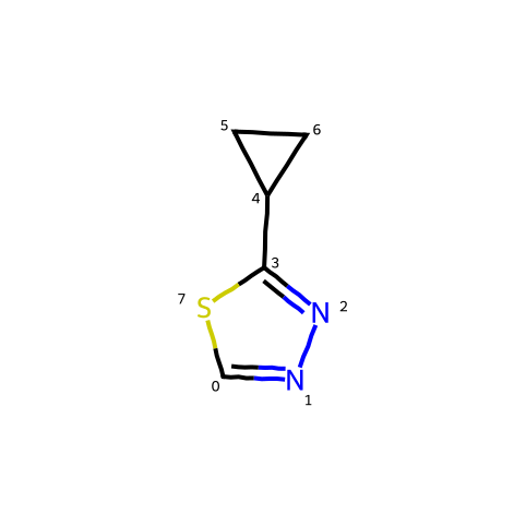 c1nnc(C2CC2)s1